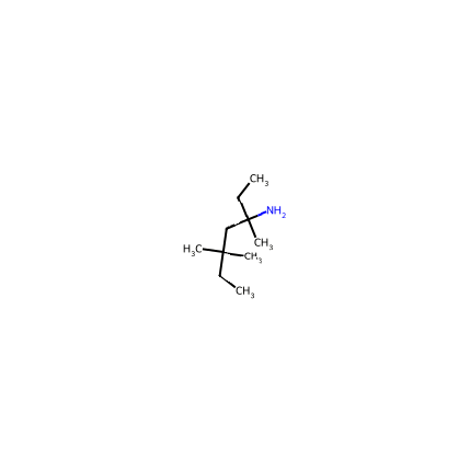 CCC(C)(C)CC(C)(N)CC